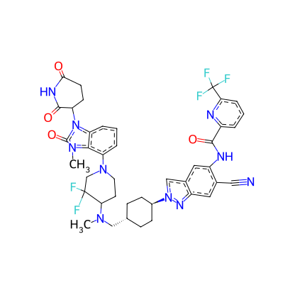 CN(C[C@H]1CC[C@H](n2cc3cc(NC(=O)c4cccc(C(F)(F)F)n4)c(C#N)cc3n2)CC1)C1CCN(c2cccc3c2n(C)c(=O)n3C2CCC(=O)NC2=O)CC1(F)F